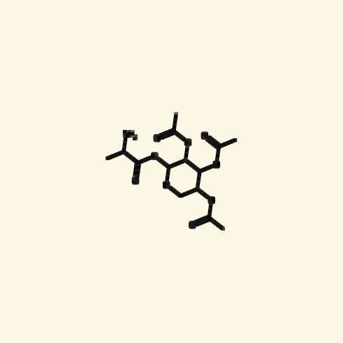 CC(=O)OC1COC(OC(=O)C(C)N)C(OC(C)=O)C1OC(C)=O